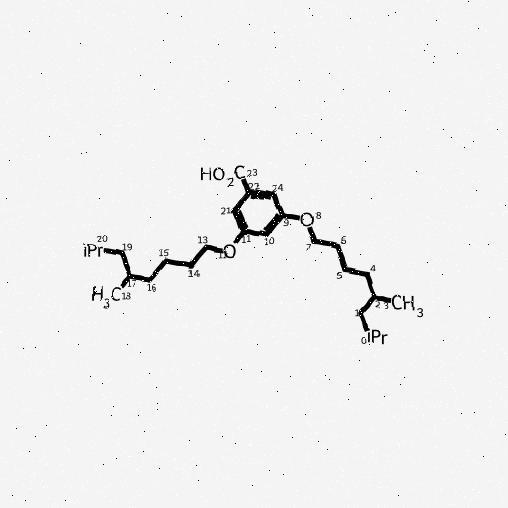 CC(C)CC(C)CCCCOc1cc(OCCCCC(C)CC(C)C)cc(C(=O)O)c1